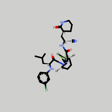 CC(C)C[C@H](Nc1cccc(Cl)c1)C(=O)N1[C@@H]2CC[C@H]([C@H]1C(=O)N[C@@H](C#N)C[C@@H]1CCCNC1=O)C(F)(F)C2